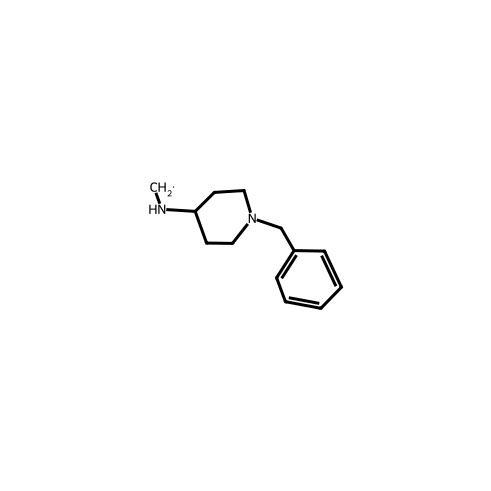 [CH2]NC1CCN(Cc2ccccc2)CC1